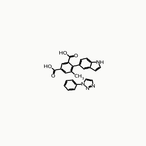 Cc1cc(C(=O)O)cc(C(=O)O)c1-c1ccc2[nH]ccc2c1.c1ccc(-n2ccnn2)cc1